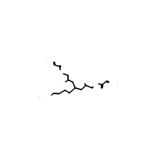 [CH2]CCCC[C](CC(O)COC(=O)C=C)CC(O)COC(=O)C=C